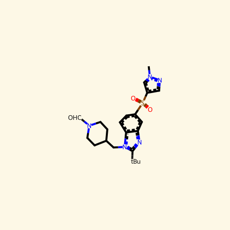 Cn1cc(S(=O)(=O)c2ccc3c(c2)nc(C(C)(C)C)n3CC2CCN(C=O)CC2)cn1